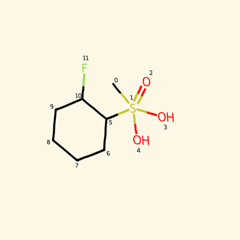 CS(=O)(O)(O)C1CCCCC1F